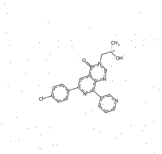 C[C@H](O)Cn1cnc2c(-c3cccnc3)nc(-c3ccc(Cl)cc3)cc2c1=O